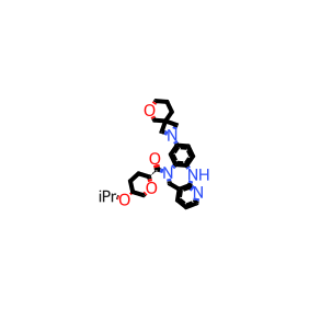 CC(C)O[C@H]1CC[C@H](C(=O)N2Cc3cccnc3Nc3ccc(N4CC5(CCCOC5)C4)cc32)OC1